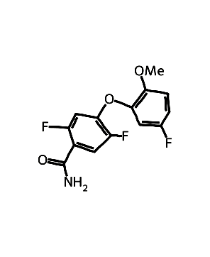 COc1ccc(F)cc1Oc1cc(F)c(C(N)=O)cc1F